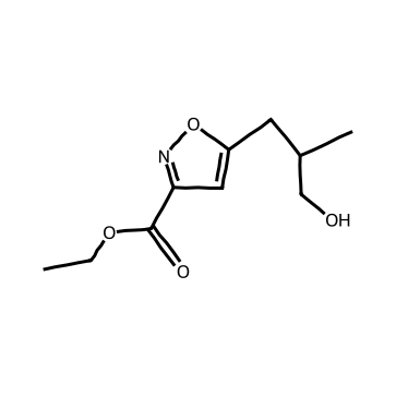 CCOC(=O)c1cc(CC(C)CO)on1